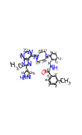 Cc1cccc(C(=O)NCc2ccccc2N2CCN(c3ncnc4c3nc(-c3cn[nH]c3)n4C)CC2)c1